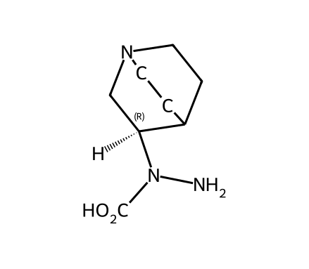 NN(C(=O)O)[C@H]1CN2CCC1CC2